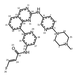 CN1CCN(c2ccc(Nc3ncc4cccc(-c5cc(NC(=O)C=CF)ccn5)c4n3)cn2)CC1